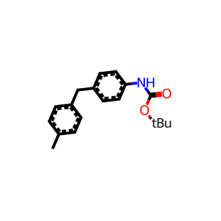 Cc1ccc(Cc2ccc(NC(=O)OC(C)(C)C)cc2)cc1